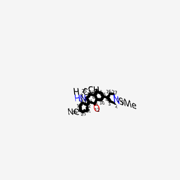 CSN1CC=C(c2ccc3c(c2)C(=O)c2c([nH]c4cc(C#N)ccc24)C3(C)C)CC1